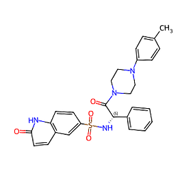 Cc1ccc(N2CCN(C(=O)[C@@H](NS(=O)(=O)c3ccc4[nH]c(=O)ccc4c3)c3ccccc3)CC2)cc1